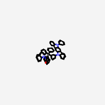 C1=CCC2C(=C1)c1cccc([Si](c3ccccc3)(c3ccccc3)c3cccc(-n4c5ccccc5c5cc6c(cc54)c4ccccc4n6-c4ccccc4)c3)c1N2c1ccccc1